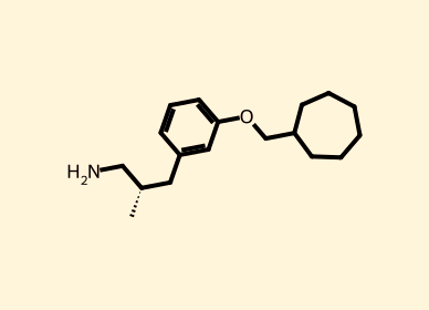 C[C@H](CN)Cc1cccc(OCC2CCCCCC2)c1